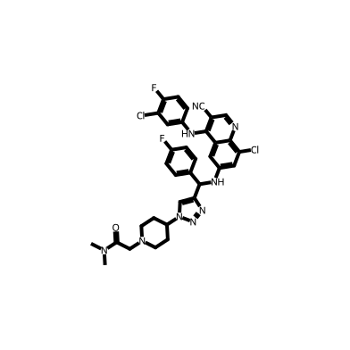 CN(C)C(=O)CN1CCC(n2cc(C(Nc3cc(Cl)c4ncc(C#N)c(Nc5ccc(F)c(Cl)c5)c4c3)c3ccc(F)cc3)nn2)CC1